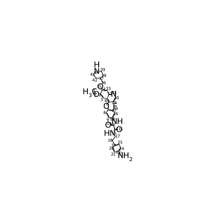 COc1cc2c(Oc3ccc(NC(=O)C(=O)NCCc4ccc(N)cc4)cc3F)ccnc2cc1OCC1CCNCC1